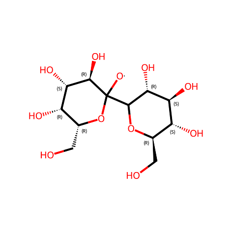 [O]C1(C2O[C@H](CO)[C@@H](O)[C@H](O)[C@H]2O)O[C@H](CO)[C@H](O)[C@H](O)[C@H]1O